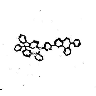 C1=CCNC(P(c2ccc(-c3ccc4c(c3)-c3ccccc3C(c3ccccc3)CC4)cc2)C2C=CC3=C(C2)C(c2ccccc2)(c2ccccc2)c2ccccc23)=C1